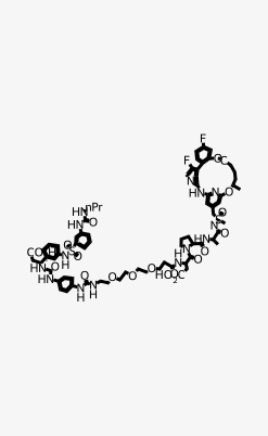 CCCNC(=O)Nc1cccc(S(=O)(=O)Nc2cccc(C(CC(=O)O)NC(=O)Nc3ccc(NC(=O)NCCOCCOCCOCCC(=O)NC(CC(=O)O)C(=O)N4CCCC4C(=O)NC(C)C(=O)N=S(C)(=O)Cc4cc5nc(c4)OC(C)CCCCOc4cc(F)ccc4-c4cc(ncc4F)N5)cc3)c2)c1